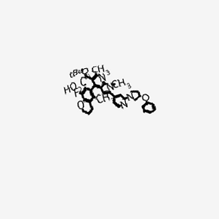 Cc1nc2c(cc(-c3ccnc(N4CCC(Oc5ccccc5)C4)c3)n2C)c(-c2cc(F)c3c(c2C)CCCO3)c1[C@H](OC(C)(C)C)C(=O)O